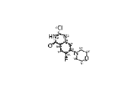 O=c1[nH]c(Cl)nc2cc(N3CCOCC3)c(F)cc12